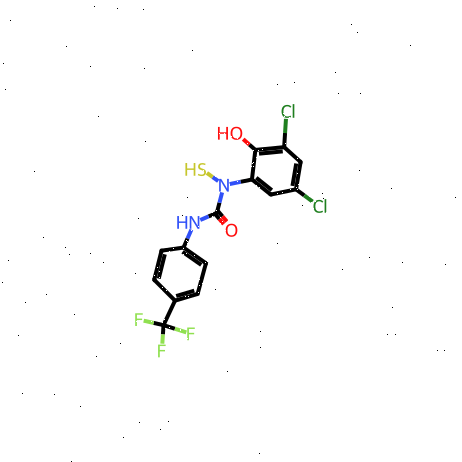 O=C(Nc1ccc(C(F)(F)F)cc1)N(S)c1cc(Cl)cc(Cl)c1O